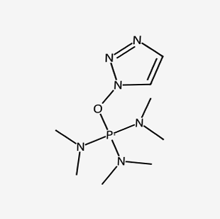 CN(C)[P](On1ccnn1)(N(C)C)N(C)C